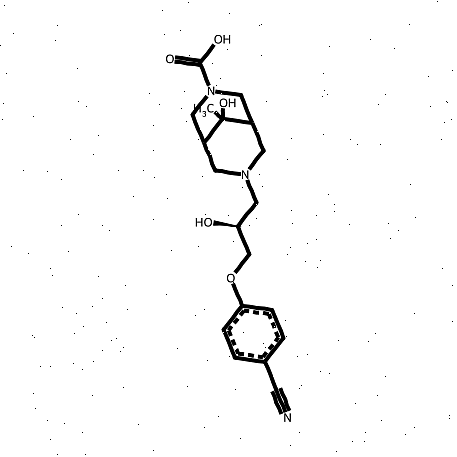 CC1(O)C2CN(C[C@H](O)COc3ccc(C#N)cc3)CC1CN(C(=O)O)C2